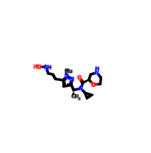 C[C@H](c1cc(CCCNO)n(C(C)(C)C)n1)N(C(=O)[C@H]1CNCCO1)C1CC1